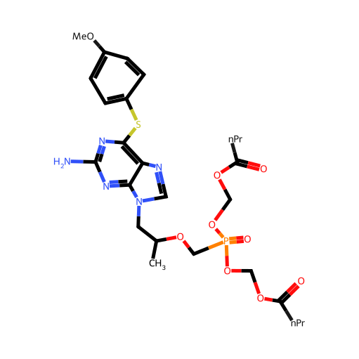 CCCC(=O)OCOP(=O)(COC(C)Cn1cnc2c(Sc3ccc(OC)cc3)nc(N)nc21)OCOC(=O)CCC